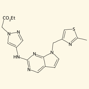 CCOC(=O)Cn1cc(Nc2ncc3ccn(Cc4csc(C)n4)c3n2)cn1